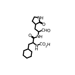 O=CC(CC1CCNC1=O)NC(=O)C(CC1CCCCC1)NC(=O)O